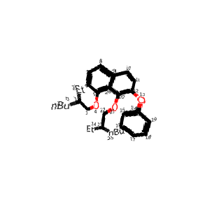 CCCCC(CC)COc1cccc2ccc(Oc3ccccc3)c(OCC(CC)CCCC)c12